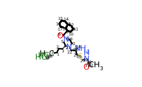 CCCC[C@H]1CN(C(=O)c2cccc3ccccc23)CCN1C[C@@H](N)CSCNC(C)=O.Cl.Cl